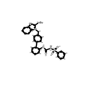 CCCCc1nc2ccccc2n1Cc1ccc(-c2ccccc2OC(=O)NS(=O)(=O)c2ccccc2)cc1